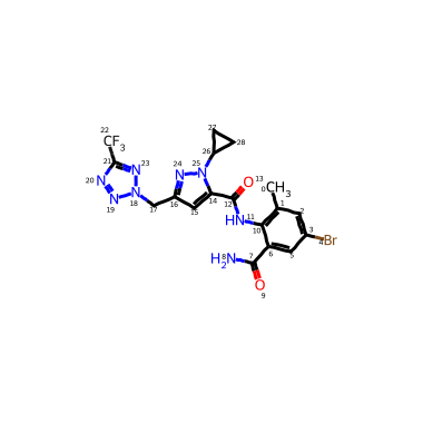 Cc1cc(Br)cc(C(N)=O)c1NC(=O)c1cc(Cn2nnc(C(F)(F)F)n2)nn1C1CC1